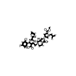 COC(=O)[C@H]1C[C@H](N2C[C@@H]3CN(CC4=C(C(=O)O)[C@H](c5ccc(F)cc5Cl)N=C(c5nccs5)N4)CCN3C2=O)CN1CC(C)C